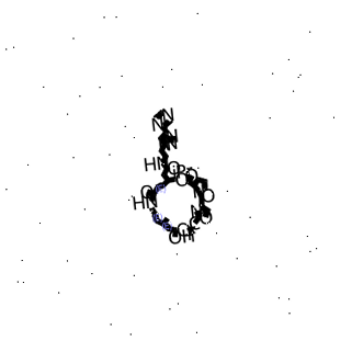 CC1=C\C(O)CC(F)Cc2nc(co2)C(=O)N2CCCC2C(=O)OC(C(C)C)C(CC(=O)NCCn2cc(-c3cnccn3)nn2)/C=C/C(=O)NC\C=C\1